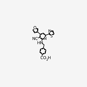 N#Cc1c(-c2ccoc2)cc(-c2nccs2)nc1NCc1ccc(C(=O)O)cc1